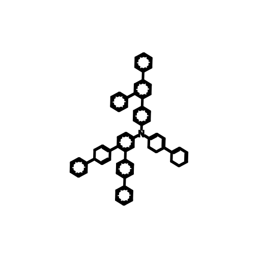 C1=CCCC(C2=CC=C(N(c3ccc(-c4ccc(-c5ccccc5)cc4-c4ccccc4)cc3)c3ccc(C4=CCC(c5ccccc5)C=C4)c(-c4ccc(-c5ccccc5)cc4)c3)CC2)=C1